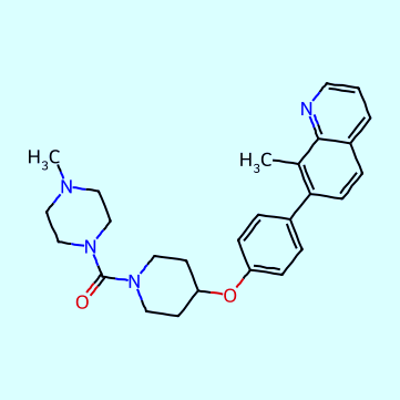 Cc1c(-c2ccc(OC3CCN(C(=O)N4CCN(C)CC4)CC3)cc2)ccc2cccnc12